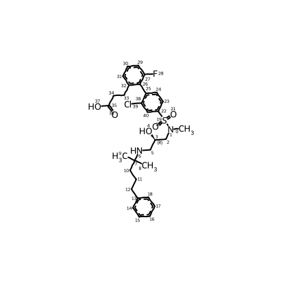 CN(C[C@H](O)CNC(C)(C)CCCc1ccccc1)S(=O)(=O)c1ccc(-c2c(F)cccc2CCC(=O)O)c(Cl)c1